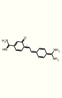 N=C(N)C1=CC(=O)/C(=C/C=c2ccc(=C(N)N)cc2)C=C1